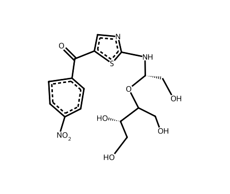 O=C(c1ccc([N+](=O)[O-])cc1)c1cnc(N[C@H](CO)OC(CO)[C@@H](O)CO)s1